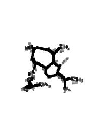 CC(=O)O.CC1=CC(O)CC(C)C2CC(=C(C)C)CC12